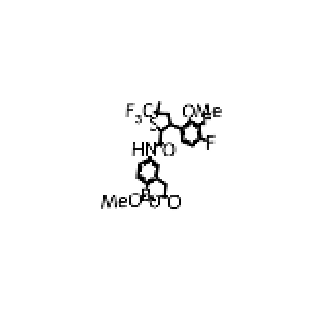 COB1OC(=O)Cc2cc(NC(=O)C3SC(C)(C(F)(F)F)CC3c3ccc(F)c(F)c3OC)ccc21